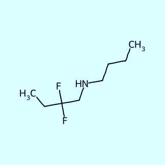 CCCCNCC(F)(F)CC